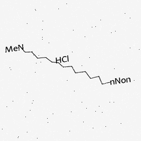 CCCCCCCCCCCCCCCCCCCCCCNC.Cl